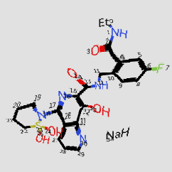 CCNC(=O)c1cc(F)ccc1CNC(=O)c1nc(N2CCCCS2(O)O)c2cccnc2c1O.[NaH]